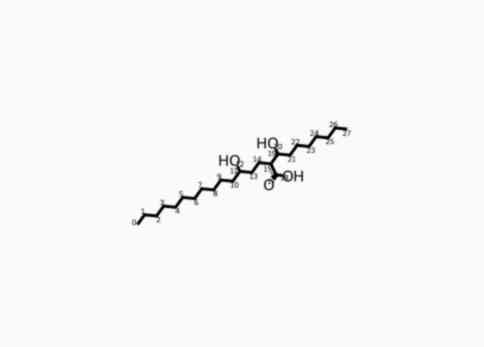 CCCCCCCCCCCC(O)CCC(C(=O)O)C(O)CCCCCCC